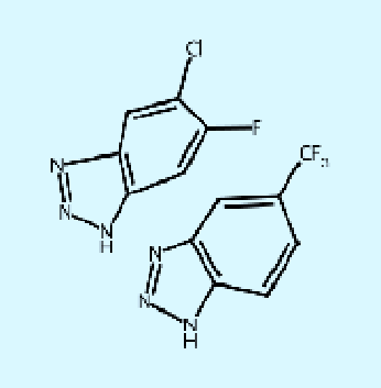 FC(F)(F)c1ccc2[nH]nnc2c1.Fc1cc2[nH]nnc2cc1Cl